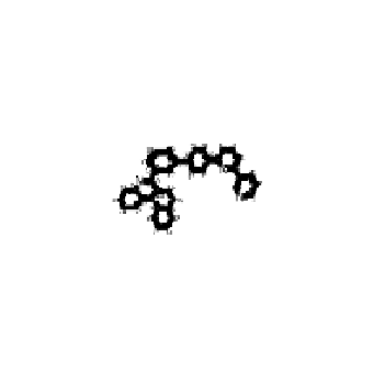 c1cncc(-c2cccc(-c3ccc(-c4cccc(-c5nc6ccccc6c6c5ccc5ccccc56)c4)cc3)n2)c1